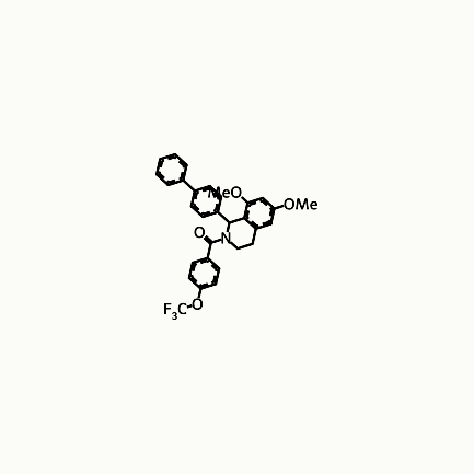 COc1cc2c(c(OC)c1)C(c1ccc(-c3ccccc3)cc1)N(C(=O)c1ccc(OC(F)(F)F)cc1)CC2